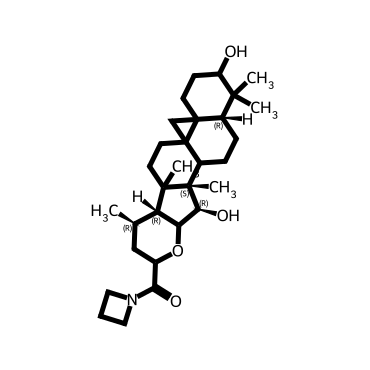 C[C@@H]1CC(C(=O)N2CCC2)OC2[C@H]1C1(C)CCC34CC35CCC(O)C(C)(C)[C@@H]5CCC4[C@]1(C)[C@H]2O